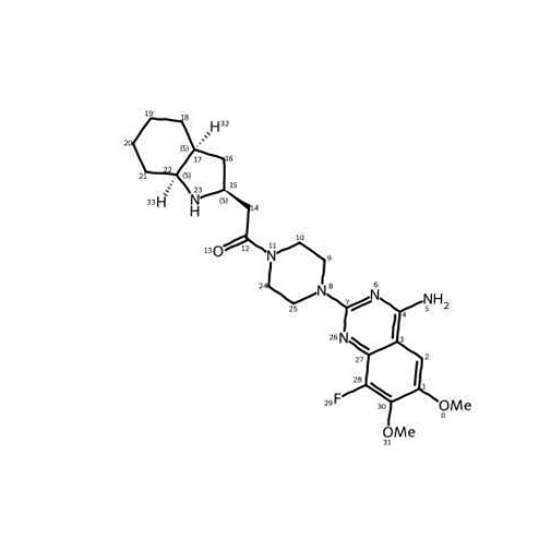 COc1cc2c(N)nc(N3CCN(C(=O)C[C@@H]4C[C@@H]5CCCC[C@@H]5N4)CC3)nc2c(F)c1OC